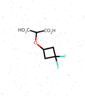 O=C(O)C(OC1CC(F)(F)C1)C(=O)O